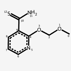 COCOc1ncccc1C(N)=S